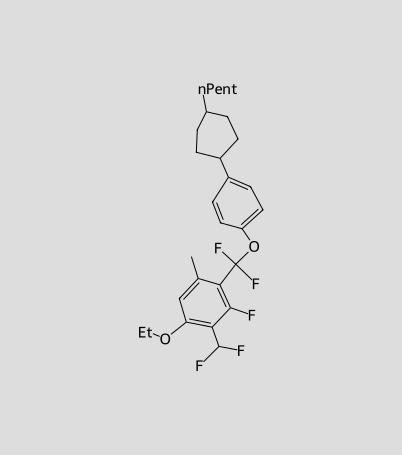 CCCCCC1CCC(c2ccc(OC(F)(F)c3c(C)cc(OCC)c(C(F)F)c3F)cc2)CC1